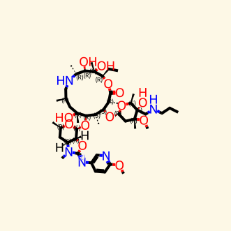 CCCNC[C@]1(O)[C@H](C)O[C@@H](O[C@H]2[C@H](C)[C@@H](O[C@@H]3O[C@H](C)C[C@H]4[C@H]3O/C(=N\c3ccc(OC)nc3)N4C)[C@](C)(O)C[C@@H](C)CN[C@H](C)[C@@H](O)[C@](C)(O)[C@@H](CC)OC(=O)[C@@H]2C)C[C@@]1(C)OC